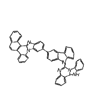 c1ccc2c(c1)N=C(n1c3ccccc3c3cc(-c4ccc5nc6c7c8ccccc8ccc7c7ccccc7n6c5c4)ccc31)N1c3ccccc3NC21